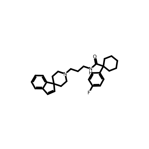 O=C(NCCCN1CCC2(C=Cc3ccccc32)CC1)C1(c2ccc(F)cc2)CCCCC1